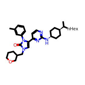 CCCCCCC(C)[C@H]1CC[C@H](Nc2nccc(-c3cn(CC4CCCOC4)c(=O)n3-c3cccc(C)c3)n2)CC1